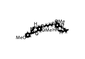 COc1ccc(C2=CN3C(=O)c4cc(OC)c(OCCCCCOc5cc6c(cc5OC)C(=O)N5CC7(CC7)C[C@H]5CN6)cc4NC[C@@H]3C2)cc1